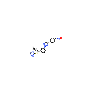 C[C@H](Sc1nncn1C)c1cccc(-n2ncc(-c3ccc(CN=O)cc3)n2)c1